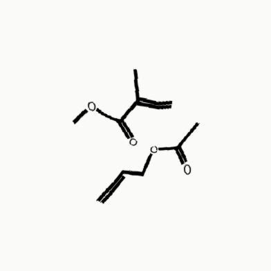 C=C(C)C(=O)OC.C=CCOC(C)=O